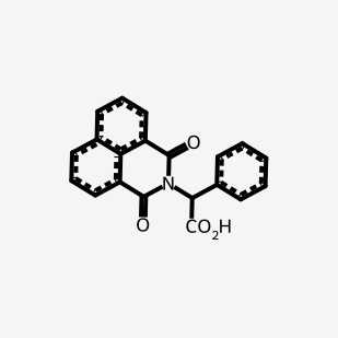 O=C(O)C(c1ccccc1)N1C(=O)c2cccc3cccc(c23)C1=O